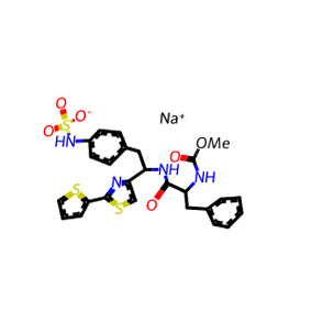 COC(=O)NC(Cc1ccccc1)C(=O)NC(Cc1ccc(NS(=O)(=O)[O-])cc1)c1csc(-c2cccs2)n1.[Na+]